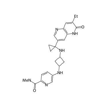 CCc1cc2ncc(C3(NC4CC(Nc5ccc(C(=O)NC)nc5)C4)CC3)cc2[nH]c1=O